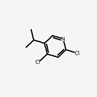 CC(C)c1cnc(Cl)cc1Cl